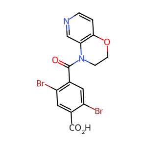 O=C(O)c1cc(Br)c(C(=O)N2CCOc3ccncc32)cc1Br